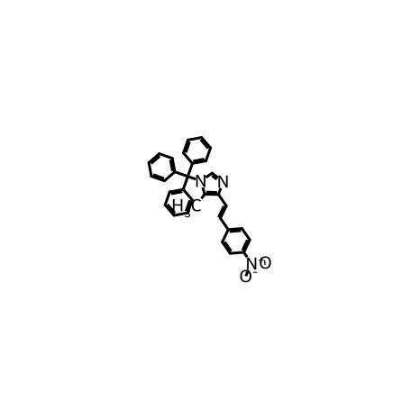 Cc1c(C=Cc2ccc([N+](=O)[O-])cc2)ncn1C(c1ccccc1)(c1ccccc1)c1ccccc1